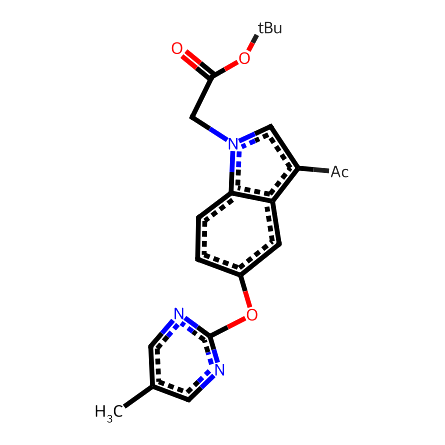 CC(=O)c1cn(CC(=O)OC(C)(C)C)c2ccc(Oc3ncc(C)cn3)cc12